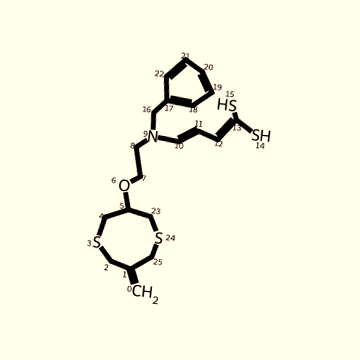 C=C1CSCC(OCCN(/C=C/C=C(S)S)Cc2ccccc2)CSC1